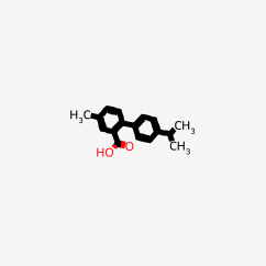 Cc1ccc(-c2ccc(C(C)C)cc2)c(C(=O)O)c1